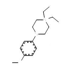 CC[N+]1(CC)CCN(c2ccc(OC)cc2)CC1.[I-]